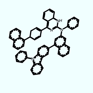 C1=CC2=C(C3=CCC(c4cccc5ccccc45)C=C3)N=C(N(c3ccccc3)c3cc(-c4ccc5c(c4)c4ccccc4n5-c4ccccc4)c4ccccc4c3)NC2C=C1